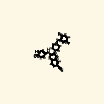 N#Cc1ccc2nc(Nc3ccc(=O)[nH]c3)c(N3CCN(Cc4cc(F)ccc4F)CC3)nc2c1